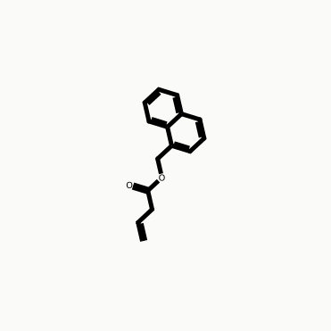 C=CCC(=O)OCc1cccc2ccccc12